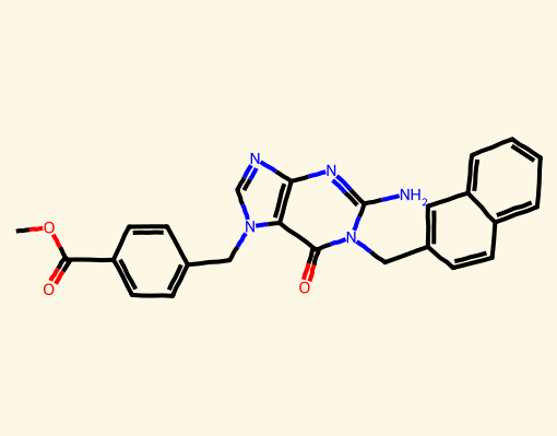 COC(=O)c1ccc(Cn2cnc3nc(N)n(Cc4ccc5ccccc5c4)c(=O)c32)cc1